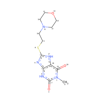 Cn1c(=O)[nH]c2nc(SCCN3CCOCC3)[nH]c2c1=O